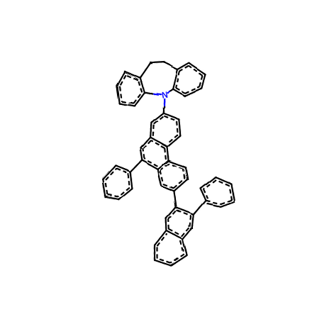 c1ccc(-c2cc3ccccc3cc2-c2ccc3c(c2)c(-c2ccccc2)cc2cc(N4c5ccccc5CCc5ccccc54)ccc23)cc1